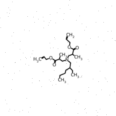 C=CCOC(=O)C(C)CN(CC(CC)CCCC)CC(C)C(=O)OCC=C